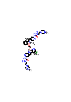 CCN1CCN(CCNC(=O)Nc2cc3cc(-c4c(OC)cccc4OCCOc4ncc(F)c(OC)c4-c4cc5cc(NC(=O)NCCN6CCN(CC)CC6)ncc5n4C)n(C)c3cn2)CC1